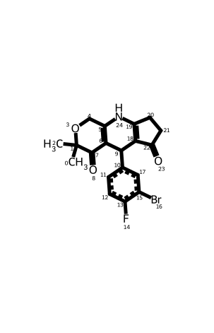 CC1(C)OCC2=C(C1=O)C(c1ccc(F)c(Br)c1)C1=C(CCC1=O)N2